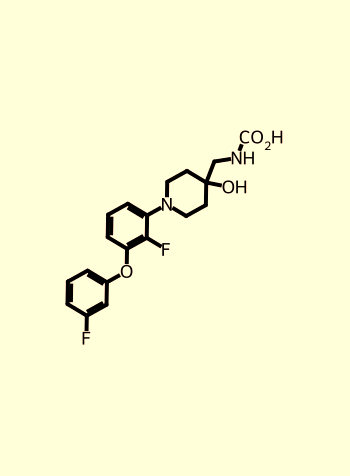 O=C(O)NCC1(O)CCN(c2cccc(Oc3cccc(F)c3)c2F)CC1